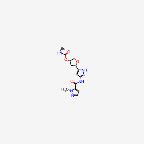 Cn1nccc1C(=O)Nc1cc(C2CC(OC(=O)NC(C)(C)C)CO2)[nH]n1